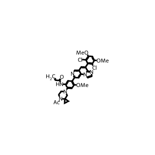 C=CC(=O)Nc1cc(-c2cc3c(cn2)cc(-c2c(Cl)c(OC)cc(OC)c2Cl)c2nccn23)c(OC)cc1N1CCN(C(C)=O)C2(CC2)C1